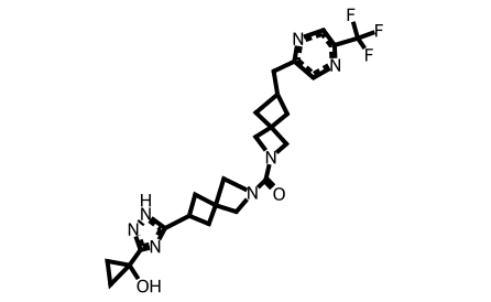 O=C(N1CC2(CC(Cc3cnc(C(F)(F)F)cn3)C2)C1)N1CC2(CC(c3nc(C4(O)CC4)n[nH]3)C2)C1